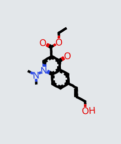 CCOC(=O)c1cn(N(C)C)c2ccc(C=CCO)cc2c1=O